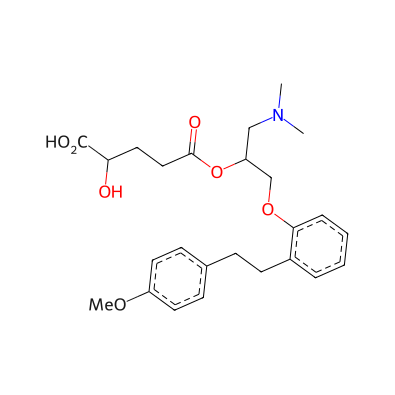 COc1ccc(CCc2ccccc2OCC(CN(C)C)OC(=O)CCC(O)C(=O)O)cc1